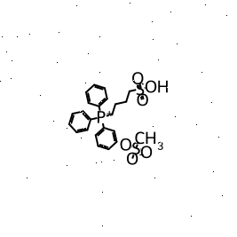 CS(=O)(=O)[O-].O=S(=O)(O)CCCC[P+](c1ccccc1)(c1ccccc1)c1ccccc1